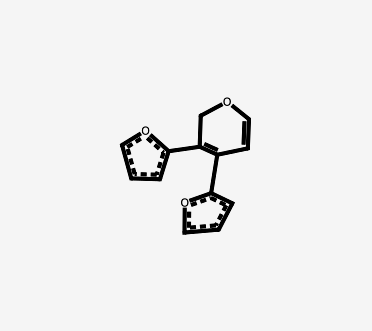 C1=CC(c2ccco2)=C(c2ccco2)CO1